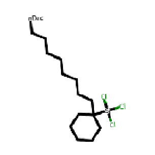 CCCCCCCCCCCCCCCCCCC1([Si](Cl)(Cl)Cl)CCCCC1